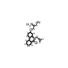 CC(C)C[C@H](N)COc1ccc2c3ccncc3c(=O)n(CC3CC3)c2c1